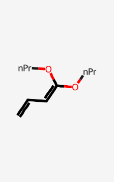 C=CC=C(OCCC)OCCC